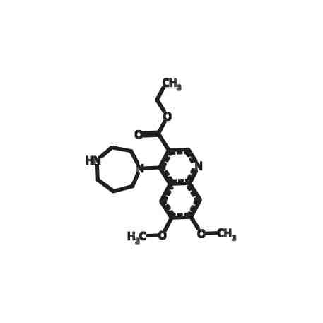 CCOC(=O)c1cnc2cc(OC)c(OC)cc2c1N1CCCNCC1